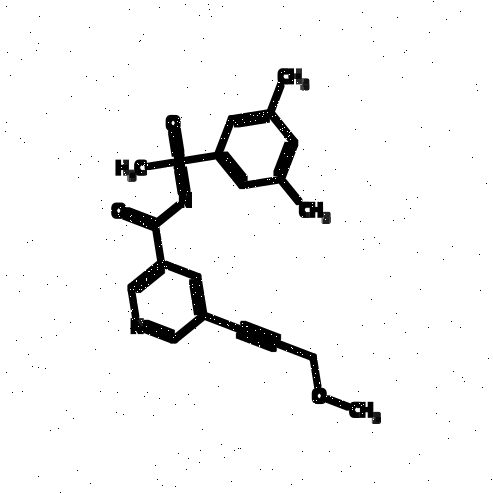 COCC#Cc1cncc(C(=O)N=S(C)(=O)c2cc(C)cc(C)c2)c1